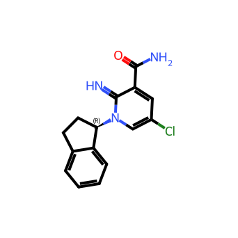 N=c1c(C(N)=O)cc(Cl)cn1[C@@H]1CCc2ccccc21